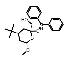 CO[C@@H]1C[C@@H](C(C)(C)C)C[C@@](CO)(O[SiH](c2ccccc2)c2ccccc2)O1